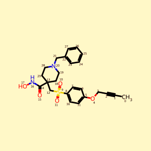 CC#CCOc1ccc(S(=O)(=O)CC2(C(=O)NO)CCN(Cc3ccccc3)CC2)cc1